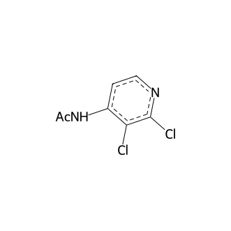 CC(=O)Nc1ccnc(Cl)c1Cl